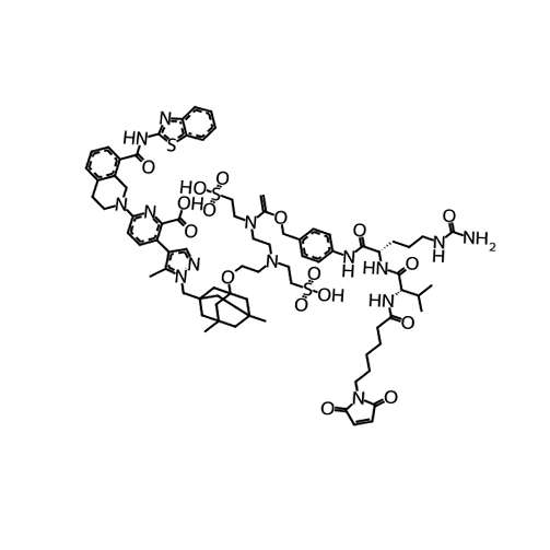 C=C(OCc1ccc(NC(=O)[C@H](CCCNC(N)=O)NC(=O)[C@@H](NC(=O)CCCCCN2C(=O)C=CC2=O)C(C)C)cc1)N(CCN(CCOC12CC3(C)CC(C)(CC(Cn4ncc(-c5ccc(N6CCc7cccc(C(=O)Nc8nc9ccccc9s8)c7C6)nc5C(=O)O)c4C)(C3)C1)C2)CCS(=O)(=O)O)CCS(=O)(=O)O